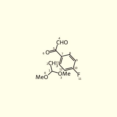 COC(C)OC.O=CC(=O)c1ccc(F)cc1